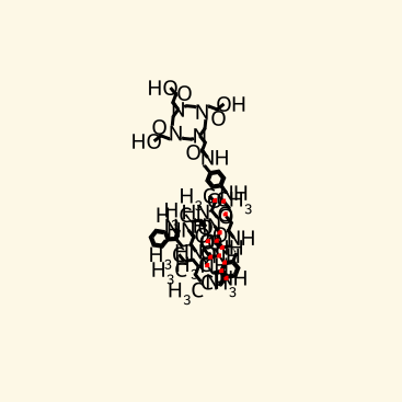 CC(C)CC(CC(C)C)NC(=O)[C@H](Cc1cnc[nH]1)NC(=O)CNC(=O)[C@@H](NC(=O)[C@H](C)NC(=O)[C@H](Cc1c[nH]c2ccccc12)NC(=O)[C@H](C)NC(=O)[C@@H](Cc1ccccc1)NC(=O)COCC(=O)Nc1ccc(CNC(=O)CN2CCN(CC(=O)O)CCN(CC(=O)O)CCN(CC(=O)O)CC2)cc1)C(C)C